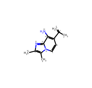 C=C(C)c1ccn2c(C)c(C)nc2c1N